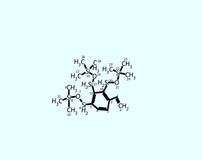 C=Cc1ccc([SiH2]O[Si](C)(C)C)c([SiH2]O[Si](C)(C)C)c1[SiH2]O[Si](C)(C)C